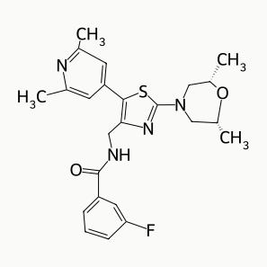 Cc1cc(-c2sc(N3C[C@@H](C)O[C@@H](C)C3)nc2CNC(=O)c2cccc(F)c2)cc(C)n1